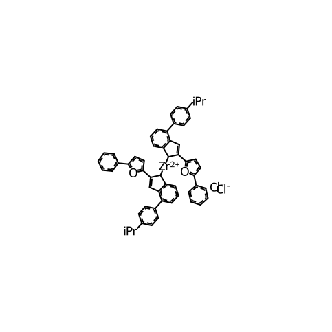 CC(C)c1ccc(-c2cccc3c2C=C(c2ccc(-c4ccccc4)o2)[CH]3[Zr+2][CH]2C(c3ccc(-c4ccccc4)o3)=Cc3c(-c4ccc(C(C)C)cc4)cccc32)cc1.[Cl-].[Cl-]